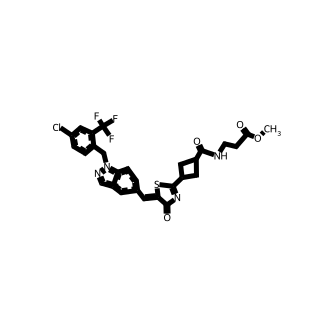 COC(=O)CCNC(=O)C1CC(C2=NC(=O)/C(=C/c3ccc4c(cnn4Cc4ccc(Cl)cc4C(F)(F)F)c3)S2)C1